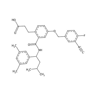 [C-]#[N+]c1cc(COc2ccc(CCC(=O)O)c(C(=O)NC(CC(C)C)c3cc(C)cc(C)c3)c2)ccc1F